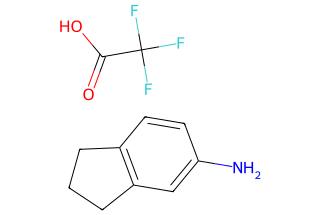 Nc1ccc2c(c1)CCC2.O=C(O)C(F)(F)F